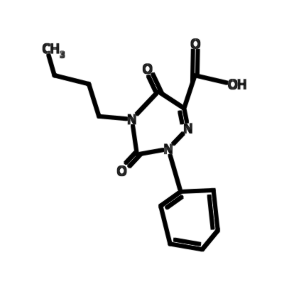 CCCCn1c(=O)c(C(=O)O)nn(-c2ccccc2)c1=O